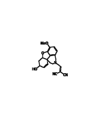 COc1ccc2c3c1OC1CC(O)C=CC31CCN(C=C(C#N)C#N)C2